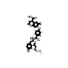 COCCOC(Cc1ccc(Cl)cc1)NC(=O)c1ccc(Oc2cc3c(cc2Cl)C(C(=O)O)CCO3)cc1